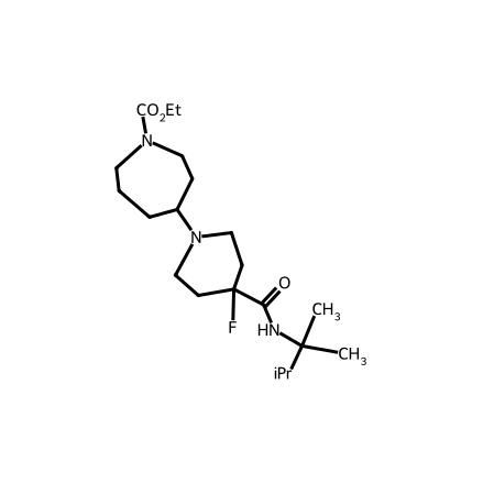 CCOC(=O)N1CCCC(N2CCC(F)(C(=O)NC(C)(C)C(C)C)CC2)CC1